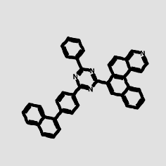 c1ccc(-c2nc(-c3ccc(-c4cccc5ccccc45)cc3)nc(-c3cc4ccccc4c4c3ccc3cnccc34)n2)cc1